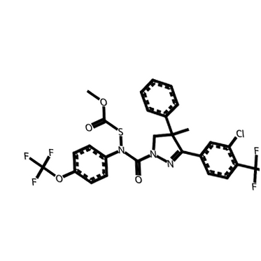 COC(=O)SN(C(=O)N1CC(C)(c2ccccc2)C(c2ccc(C(F)(F)F)c(Cl)c2)=N1)c1ccc(OC(F)(F)F)cc1